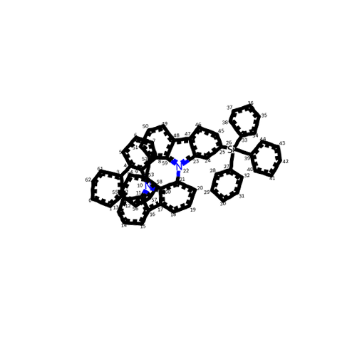 c1ccc(-c2ccccc2-n2c3ccccc3c3cccc(-n4c5cc([Si](c6ccccc6)(c6ccccc6)c6ccccc6)ccc5c5cccc(-c6ccccc6)c54)c32)cc1